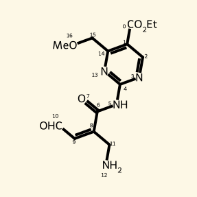 CCOC(=O)c1cnc(NC(=O)/C(=C\C=O)CN)nc1COC